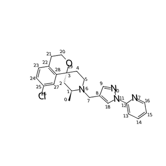 C[C@H]1C[C@@]2(CCN1Cc1cnn(-c3ccccn3)c1)OCCc1ccc(Cl)cc12